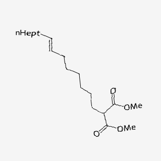 CCCCCCCC=CCCCCCCC(C(=O)OC)C(=O)OC